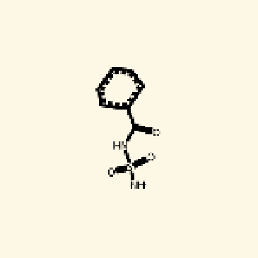 [NH]S(=O)(=O)NC(=O)c1ccccc1